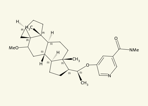 CNC(=O)c1cncc(O[C@@H](C)[C@H]2CC[C@H]3[C@@H]4CC(OC)[C@]56C[C@H]5CC[C@]6(C)[C@H]4CC[C@]23C)c1